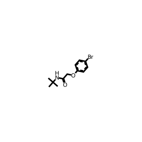 CC(C)(C)NC(=O)COc1ccc(Br)cc1